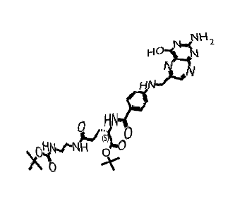 CC(C)(C)OC(=O)NCCNC(=O)CC[C@H](NC(=O)c1ccc(NCc2cnc3nc(N)nc(O)c3n2)cc1)C(=O)OC(C)(C)C